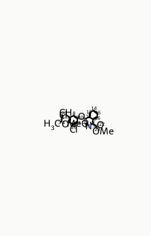 C#CC(C)Oc1c(Cl)cc(OCc2ccccc2/C(=N\OC)C(=O)OC)cc1Cl